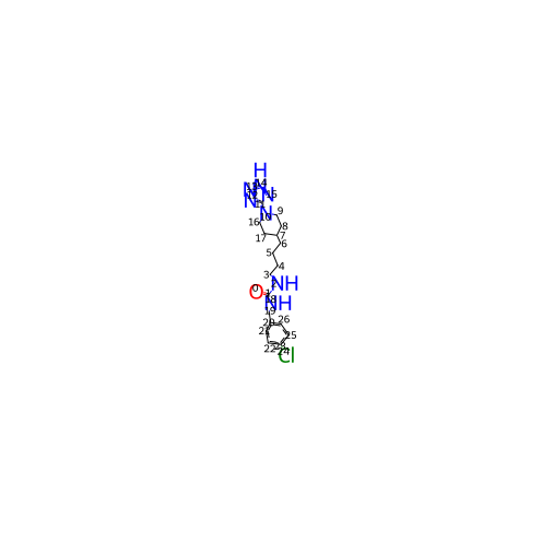 O=C(NCCCCC1CCN(c2nn[nH]n2)CC1)NCc1ccc(Cl)cc1